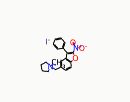 C[N+]1(Cc2ccc3oc([N+](=O)[O-])c(-c4ccccc4)c3c2)CCCC1.[I-]